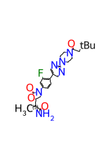 C[C@H](C(N)=O)C1CN(c2ccc(-c3cnc(N4CCN(C(=O)CC(C)(C)C)CC4)nc3)c(F)c2)C(=O)O1